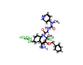 CN(C(=O)NCC(=O)N1c2ccc(Cl)cc2C(N)=C(OCc2ccccc2)C1(C)Cl)c1ccncc1.Cl.Cl